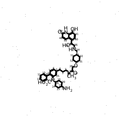 CN(CCCc1ccc(-c2ccccc2)c(N(C(=O)O)C2CCC(N)CC2)c1)C(=O)CO[C@H]1CC[C@H](CNC[C@H](O)c2ccc(O)c3[nH]c(=O)ccc23)CC1